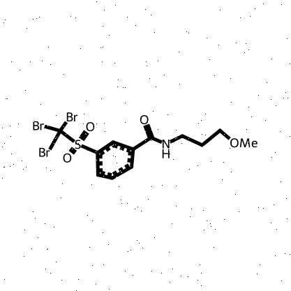 COCCCNC(=O)c1cccc(S(=O)(=O)C(Br)(Br)Br)c1